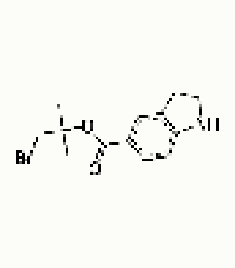 CC(C)(CBr)OC(=O)c1ccc2c(c1)CCN2